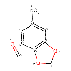 C=O.O=[N+]([O-])c1ccc2c(c1)OCO2